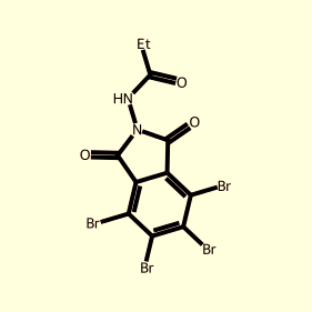 CCC(=O)NN1C(=O)c2c(Br)c(Br)c(Br)c(Br)c2C1=O